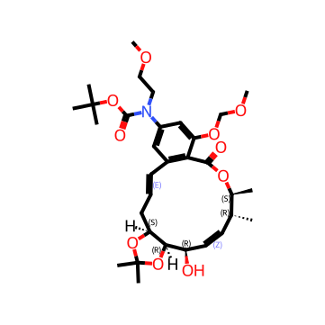 COCCN(C(=O)OC(C)(C)C)c1cc2c(c(OCOC)c1)C(=O)O[C@@H](C)[C@H](C)/C=C\[C@@H](O)[C@H]1OC(C)(C)O[C@H]1C/C=C/2